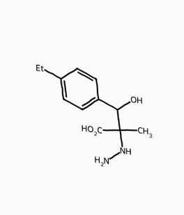 CCc1ccc(C(O)C(C)(NN)C(=O)O)cc1